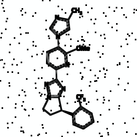 COc1nc(-c2nc3n(n2)CC[C@@H]3c2ccccc2C(F)(F)F)ccc1-n1cnc(C)c1